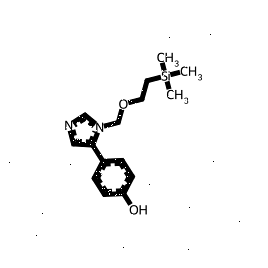 C[Si](C)(C)CCOCn1cncc1-c1ccc(O)cc1